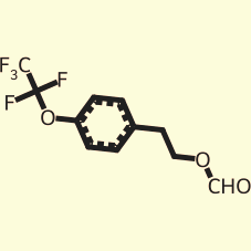 O=COCCc1ccc(OC(F)(F)C(F)(F)F)cc1